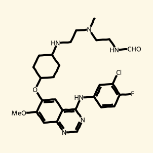 COc1cc2ncnc(Nc3ccc(F)c(Cl)c3)c2cc1OC1CCC(NCCN(C)CCNC=O)CC1